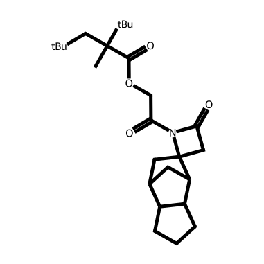 CC(C)(C)CC(C)(C(=O)OCC(=O)N1C(=O)CC12CC1CC2C2CCCC12)C(C)(C)C